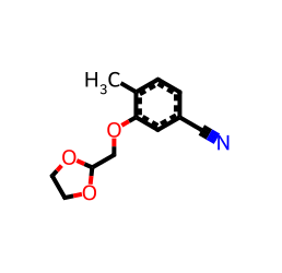 Cc1ccc(C#N)cc1OCC1OCCO1